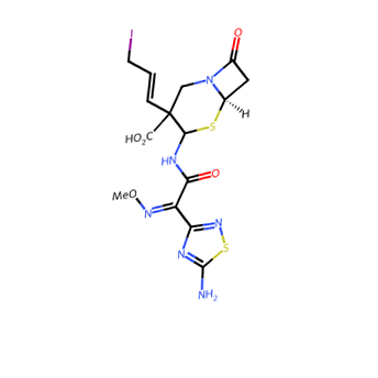 CON=C(C(=O)NC1S[C@@H]2CC(=O)N2CC1(C=CCI)C(=O)O)c1nsc(N)n1